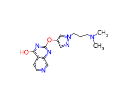 CN(C)CCCn1cc(Oc2nc(O)c3ccncc3n2)cn1